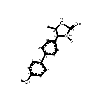 COc1ccc(-c2ccc(C3C(C)OC(=O)N3C)cc2)cc1